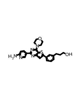 Nc1ccc(-c2nc(N3CCOCC3)c3sc(-c4cccc(CCCO)c4)cc3n2)cn1